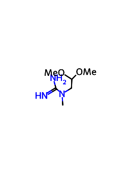 COC(CN(C)C(=N)N)OC